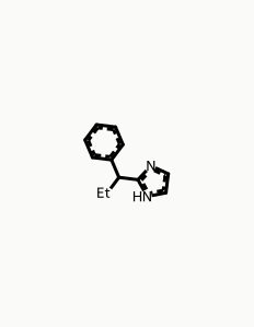 CCC(c1ccccc1)c1ncc[nH]1